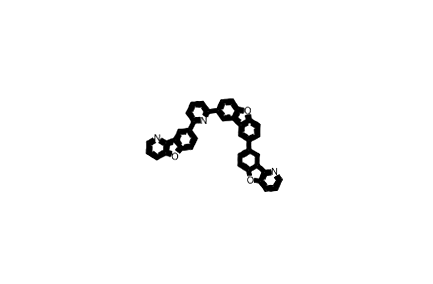 C1=C(c2ccc3oc4ccc(-c5cccc(-c6ccc7oc8cccnc8c7c6)n5)cc4c3c2)CC2C(=C1)Oc1cccnc12